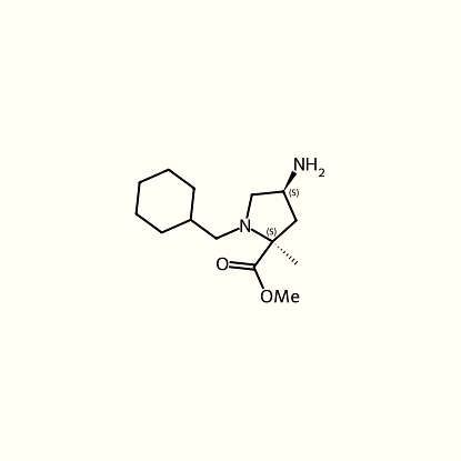 COC(=O)[C@]1(C)C[C@H](N)CN1CC1CCCCC1